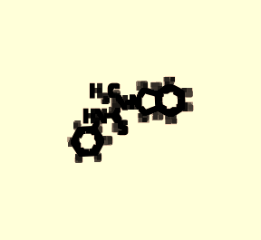 CN(C(=S)Nc1ccccc1)N1Cc2ccccc2C1